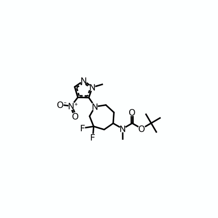 CN(C(=O)OC(C)(C)C)C1CCN(c2c([N+](=O)[O-])cnn2C)CC(F)(F)C1